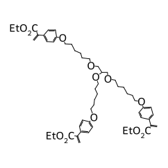 C=C(C(=O)OCC)c1ccc(OCCCCCCOCC(COCCCCCCOc2ccc(C(=C)C(=O)OCC)cc2)OCCCCCCOc2ccc(C(=C)C(=O)OCC)cc2)cc1